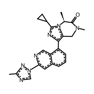 Cc1ncn(-c2cc3cccc(-c4nc(C5CC5)n5c4CN(C)C(=O)[C@@H]5C)c3cn2)n1